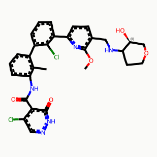 COc1nc(-c2cccc(-c3cccc(NC(=O)c4c(Cl)cn[nH]c4=O)c3C)c2Cl)ccc1CNC1CCOC[C@@H]1O